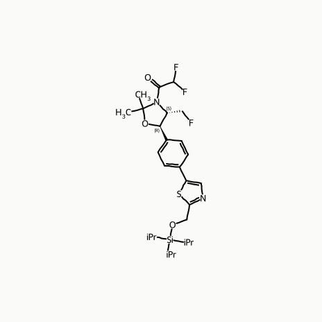 CC(C)[Si](OCc1ncc(-c2ccc([C@H]3OC(C)(C)N(C(=O)C(F)F)[C@@H]3CF)cc2)s1)(C(C)C)C(C)C